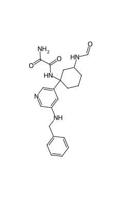 NC(=O)C(=O)NC1(c2cncc(NCc3ccccc3)c2)CCCC(NC=O)C1